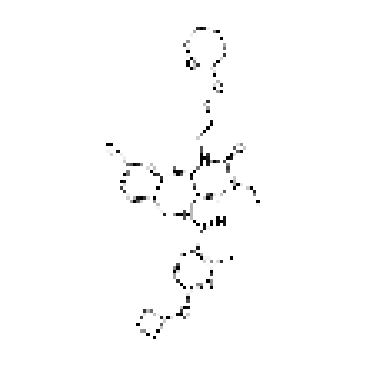 CCn1c(=O)n(CCCOC2CCCCO2)c(=O)c2c1nc(-c1ccc(OC3CCC3)nc1C)n2Cc1ccc(Cl)cc1